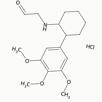 COc1cc(C2CCCCC2NCC=O)cc(OC)c1OC.Cl